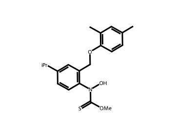 COC(=S)N(O)c1ccc(C(C)C)cc1COc1ccc(C)cc1C